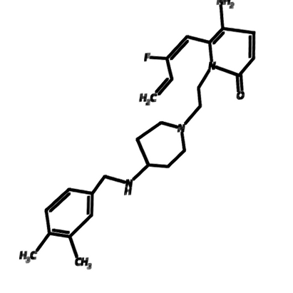 C=C/C(F)=C\c1c(N)ccc(=O)n1CCN1CCC(NCc2ccc(C)c(C)c2)CC1